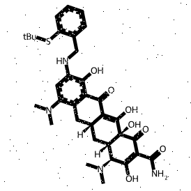 CN(C)c1cc(NCc2ccccc2SC(C)(C)C)c(O)c2c1C[C@H]1C[C@H]3[C@H](N(C)C)C(O)=C(C(N)=O)C(=O)[C@@]3(O)C(O)=C1C2=O